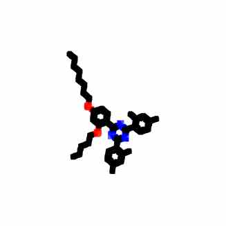 CCCCCCCCOc1ccc(-c2nc(-c3ccc(C)cc3C)nc(-c3ccc(C)cc3C)n2)c(OCCCCC)c1